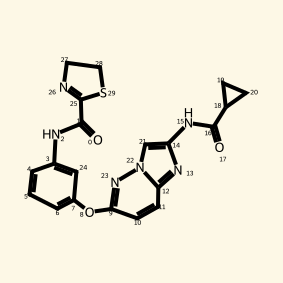 O=C(Nc1cccc(Oc2ccc3nc(NC(=O)C4CC4)cn3n2)c1)C1=NCCS1